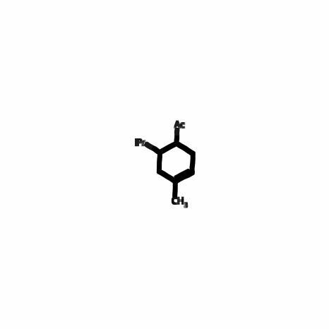 CC(=O)C1CC=C(C)CC1C(C)C